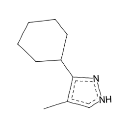 Cc1c[nH]nc1C1CCCCC1